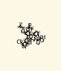 O=C(Cn1c(=O)c(=O)[nH]c2ccccc21)OC(Cc1c(Cl)cncc1Cl)c1ccc(OC(F)F)c(OCC2CC2)c1